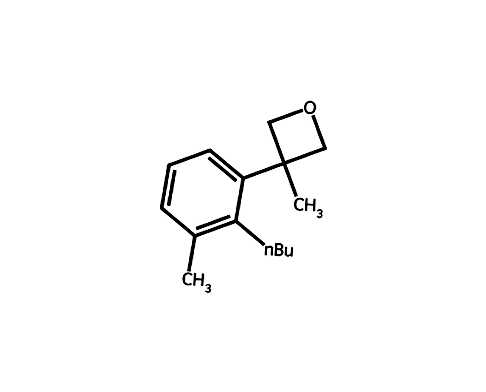 CCCCc1c(C)cccc1C1(C)COC1